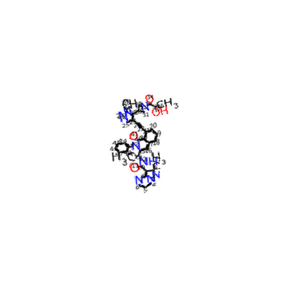 Cc1nn2cccnc2c1C(=O)NC(C)c1cc2cccc(C#Cc3cnn(C)c3C3CN(C(=O)C(C)O)C3)c2c(=O)n1-c1ccccc1